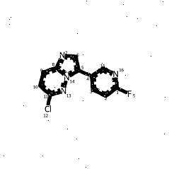 Fc1ccc(-c2cnc3ccc(Cl)nn23)cn1